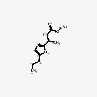 CC(NC(=O)OC(C)(C)C)c1ncc(CCN)o1